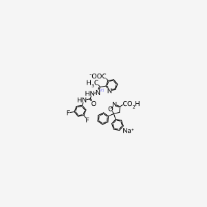 C/C(=N\NC(=O)Nc1cc(F)cc(F)c1)c1ncccc1C(=O)[O-].O=C(O)C1=NOC(c2ccccc2)(c2ccccc2)C1.[Na+]